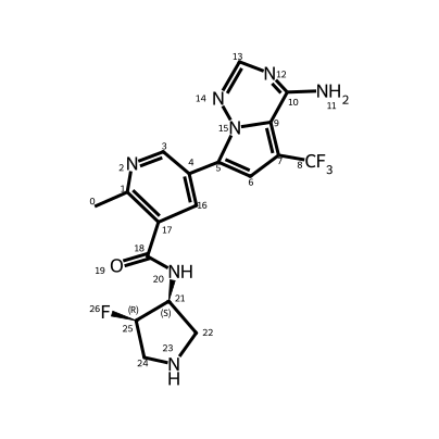 Cc1ncc(-c2cc(C(F)(F)F)c3c(N)ncnn23)cc1C(=O)N[C@H]1CNC[C@H]1F